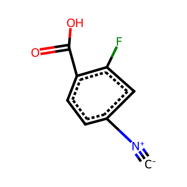 [C-]#[N+]c1ccc(C(=O)O)c(F)c1